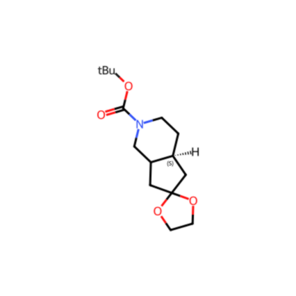 CC(C)(C)OC(=O)N1CC[C@H]2CC3(CC2C1)OCCO3